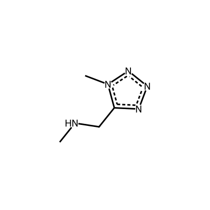 CNCc1nnnn1C